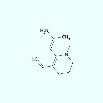 C=CC1=C(/C=C(\C)N)N(I)CCC1